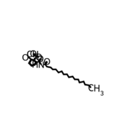 CCCCCCCCCCCCCCCCCC(=O)NC(=O)c1cccc(C(C)=O)c1I(=O)=O